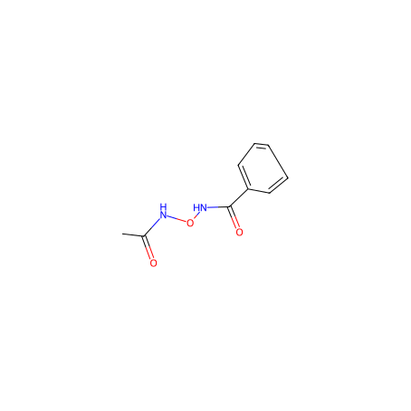 CC(=O)NONC(=O)c1ccccc1